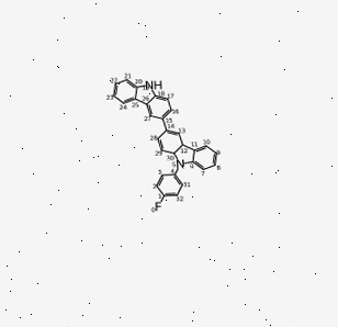 Fc1ccc(N2c3ccccc3C3C=C(c4ccc5[nH]c6ccccc6c5c4)C=CC32)cc1